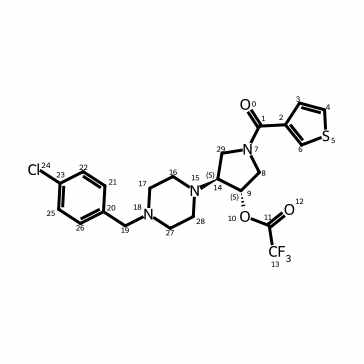 O=C(c1ccsc1)N1C[C@H](OC(=O)C(F)(F)F)[C@@H](N2CCN(Cc3ccc(Cl)cc3)CC2)C1